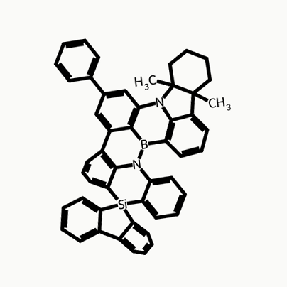 CC12CCCCC1(C)N1c3cc(-c4ccccc4)cc4c3B(c3cccc2c31)N1c2ccccc2[Si]2(c3ccccc3-c3ccccc32)c2cccc-4c21